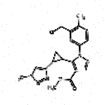 COC(=O)c1cnn(-c2ccc(C)c(CCl)c2)c1C1CC1c1cn(C)nn1